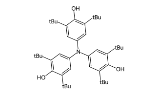 CC(C)(C)c1cc(N(c2cc(C(C)(C)C)c(O)c(C(C)(C)C)c2)c2cc(C(C)(C)C)c(O)c(C(C)(C)C)c2)cc(C(C)(C)C)c1O